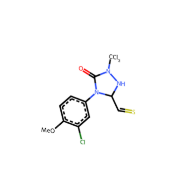 COc1ccc(N2C(=O)N(C(Cl)(Cl)Cl)NC2C=S)cc1Cl